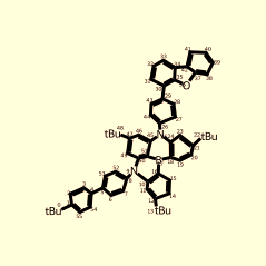 CC(C)(C)c1ccc(-c2ccc(N3c4cc(C(C)(C)C)ccc4B4c5ccc(C(C)(C)C)cc5N(c5ccc(-c6cccc7c6oc6ccccc67)cc5)c5cc(C(C)(C)C)cc3c54)cc2)cc1